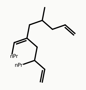 C=CCC(C)CC(=CCCC)CC(C=C)CCC